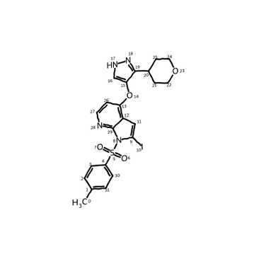 Cc1ccc(S(=O)(=O)n2c(I)cc3c(Oc4c[nH]nc4C4CCOCC4)ccnc32)cc1